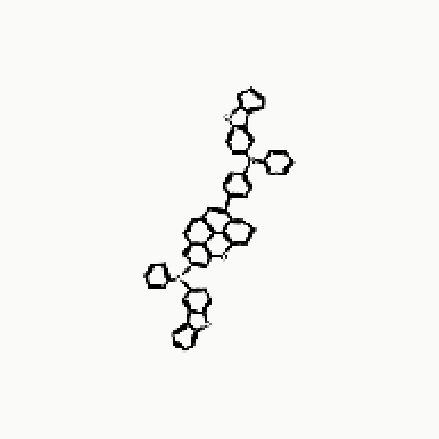 c1ccc(N(c2ccc(-c3cc4ccc5cc(N(c6ccccc6)c6ccc7oc8ccccc8c7c6)cc6c5c4c4c(cccc34)O6)cc2)c2ccc3oc4ccccc4c3c2)cc1